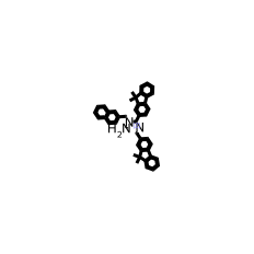 CC1(C)c2ccccc2-c2ccc(C/N=C(/c3ccc4c(c3)C(C)(C)c3ccccc3-4)N(N)Cc3ccc4ccccc4c3)cc21